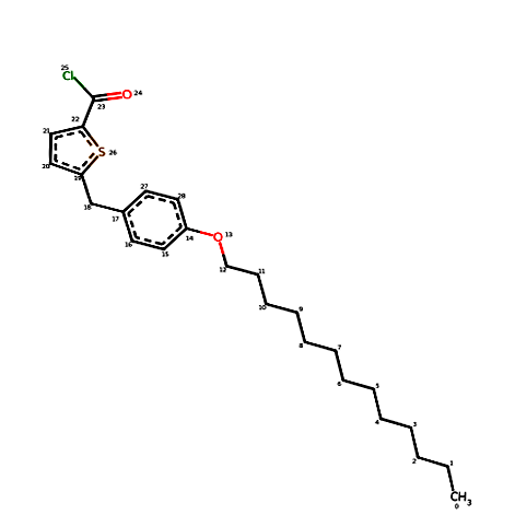 CCCCCCCCCCCCCOc1ccc(Cc2ccc(C(=O)Cl)s2)cc1